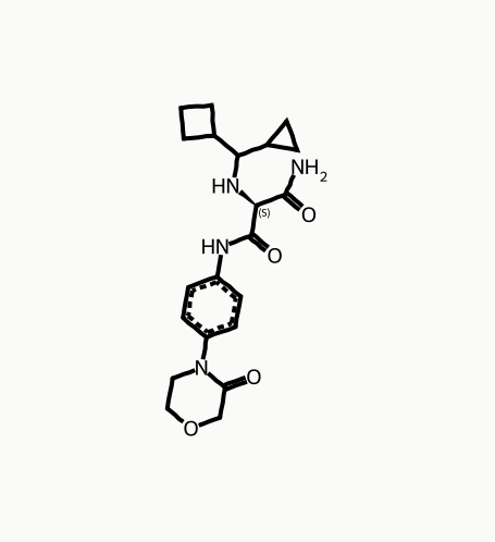 NC(=O)[C@H](NC(C1CCC1)C1CC1)C(=O)Nc1ccc(N2CCOCC2=O)cc1